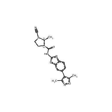 Cc1noc(C)c1-c1ccc2nc(NC(=O)[C@H]3CCN(C#N)[C@H]3C)sc2c1